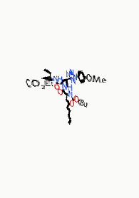 C=CCCCCC[C@H](NC(=O)OC(C)(C)C)C(=O)N1C[C@H](c2nnn(-c3ccc(OC)cc3)n2)C[C@H]1C(=O)N[C@]1(C(=O)OCC)C[C@H]1C=C